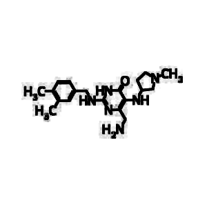 Cc1ccc(CNc2nc(CN)c(NC3CCN(C)C3)c(=O)[nH]2)cc1C